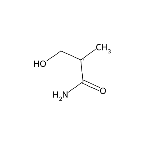 C[C](CO)C(N)=O